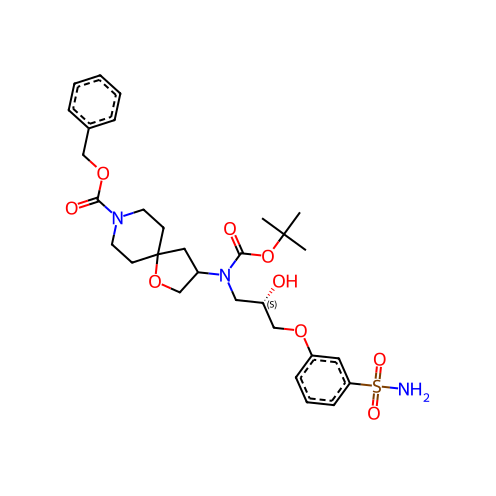 CC(C)(C)OC(=O)N(C[C@H](O)COc1cccc(S(N)(=O)=O)c1)C1COC2(CCN(C(=O)OCc3ccccc3)CC2)C1